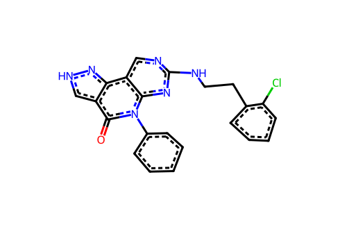 O=c1c2c[nH]nc2c2cnc(NCCc3ccccc3Cl)nc2n1-c1ccccc1